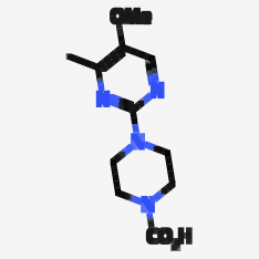 COc1cnc(N2CCN(C(=O)O)CC2)nc1C